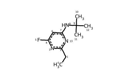 CCc1nc(F)cc(NC(C)(C)C)n1